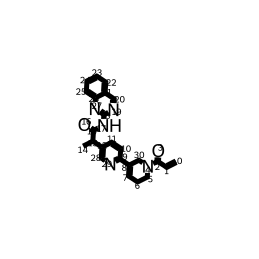 C=CC(=O)N1CCC=C(c2ccc(C(C)C(=O)Nc3ncc4ccccc4n3)cn2)C1